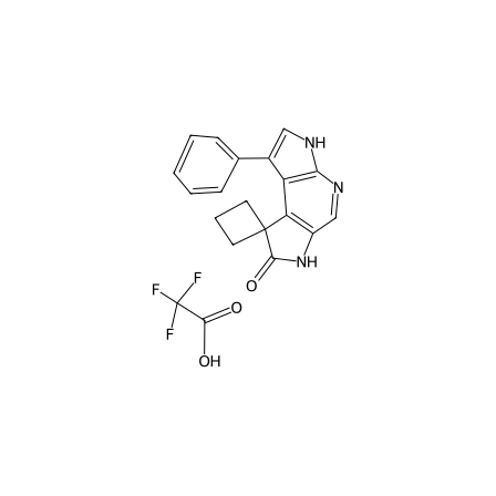 O=C(O)C(F)(F)F.O=C1Nc2cnc3[nH]cc(-c4ccccc4)c3c2C12CCC2